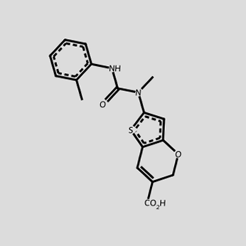 Cc1ccccc1NC(=O)N(C)c1cc2c(s1)C=C(C(=O)O)CO2